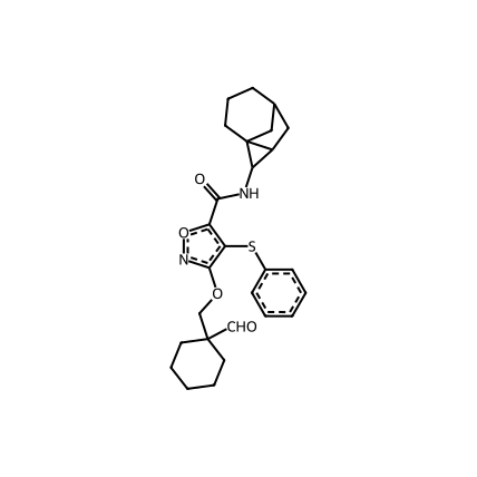 O=CC1(COc2noc(C(=O)NC3C4CC5CCCC43C5)c2Sc2ccccc2)CCCCC1